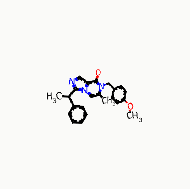 COc1ccc(Cn2c(C)cn3c(C(C)c4ccccc4)ncc3c2=O)cc1